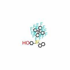 C[S+](Cc1ccc(O)cc1)Cc1cccc2ccccc12.Fc1c(F)c(F)c([B-](c2c(F)c(F)c(F)c(F)c2F)(c2c(F)c(F)c(F)c(F)c2F)c2c(F)c(F)c(F)c(F)c2F)c(F)c1F